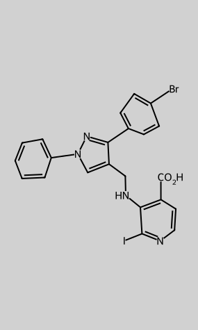 O=C(O)c1ccnc(I)c1NCc1cn(-c2ccccc2)nc1-c1ccc(Br)cc1